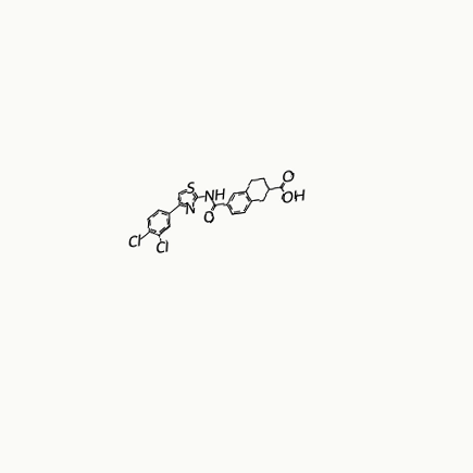 O=C(Nc1nc(-c2ccc(Cl)c(Cl)c2)cs1)c1ccc2c(c1)CCC(C(=O)O)C2